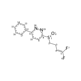 [O-][S+](CCC=C(F)F)c1ccc(-c2ccccc2)nn1